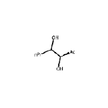 CCCC(O)[C@H](O)C(C)=O